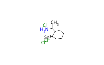 CC(N)C1CCCC[CH]1[Sn+3].[Cl-].[Cl-].[Cl-]